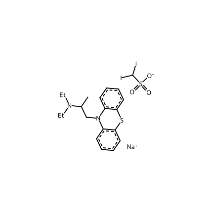 CCN(CC)C(C)CN1c2ccccc2Sc2ccccc21.O=S(=O)([O-])C(I)I.[Na+]